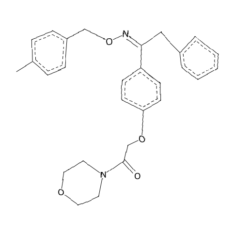 Cc1ccc(CON=C(Cc2ccccc2)c2ccc(OCC(=O)N3CCOCC3)cc2)cc1